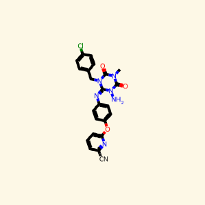 Cn1c(=O)n(N)/c(=N\c2ccc(Oc3cccc(C#N)n3)cc2)n(Cc2ccc(Cl)cc2)c1=O